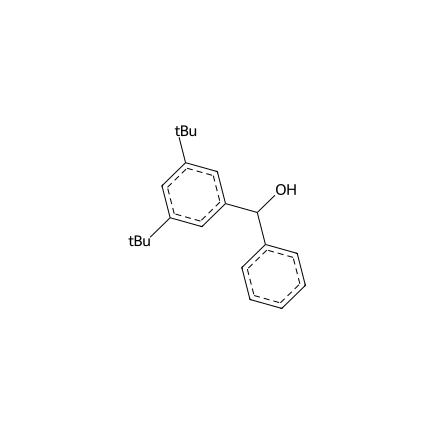 CC(C)(C)c1cc(C(O)c2ccccc2)cc(C(C)(C)C)c1